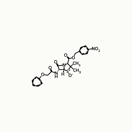 CC1(C)C(C(=O)OCc2ccc([N+](=O)[O-])cc2)N2C(=O)[C@@H](NC(=O)COc3ccccc3)[C@H]2[S+]1[O-]